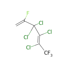 C=C(F)C(Cl)(Cl)C(Cl)=C(Cl)C(F)(F)F